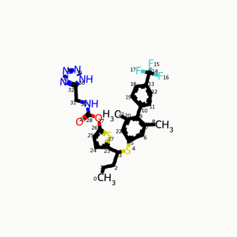 CCCC(Sc1cc(C)c(-c2ccc(C(F)(F)F)cc2)c(C)c1)c1ccc(OC(=O)NCc2nnn[nH]2)s1